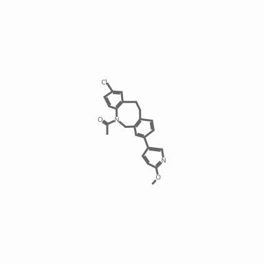 COc1ccc(-c2ccc3c(c2)CN(C(C)=O)c2ccc(Cl)cc2CC3)cn1